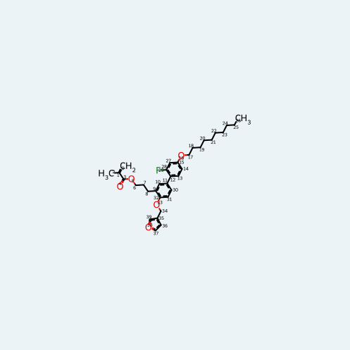 C=C(C)C(=O)OCCCc1cc(-c2ccc(OCCCCCCCCCC)cc2F)ccc1OCc1ccoc1